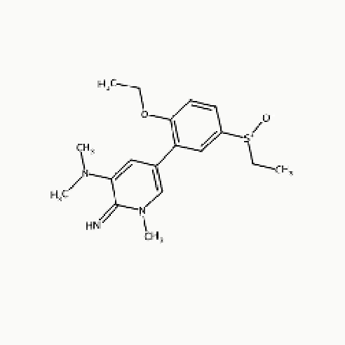 CCOc1ccc([S+]([O-])CC)cc1-c1cc(N(C)C)c(=N)n(C)c1